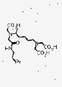 CC(C)CCNC(=O)CN(CC(=O)O)C(C)CCCCN(CC(=O)O)CC(=O)O